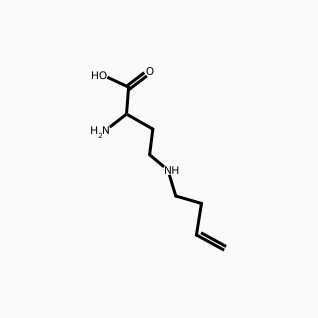 C=CCCNCCC(N)C(=O)O